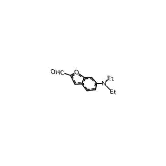 CCN(CC)c1ccc2cc(C=O)oc2c1